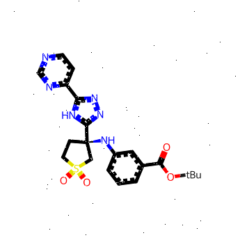 CC(C)(C)OC(=O)c1cccc(N[C@]2(c3nnc(-c4ccncn4)[nH]3)CCS(=O)(=O)C2)c1